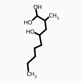 CCCCCC(O)CC(C)C(O)O